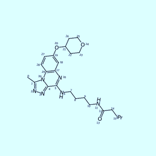 Cc1nnc2c(NCCCCNC(=O)CC(C)C)nc3cc(OC4CCOCC4)ccc3n12